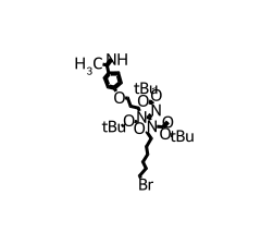 CC(=N)c1ccc(OCCCN(C(=O)OC(C)(C)C)/C(=N\C(=O)OC(C)(C)C)N(CCCCCCCBr)C(=O)OC(C)(C)C)cc1